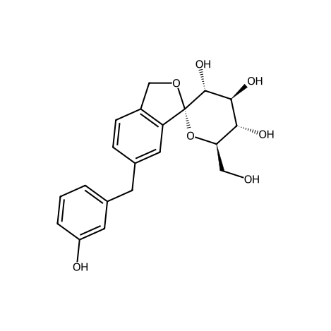 OC[C@H]1O[C@]2(OCc3ccc(Cc4cccc(O)c4)cc32)[C@H](O)[C@@H](O)[C@@H]1O